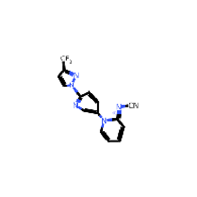 N#C/N=c1\ccccn1-c1ccc(-n2ccc(C(F)(F)F)n2)nc1